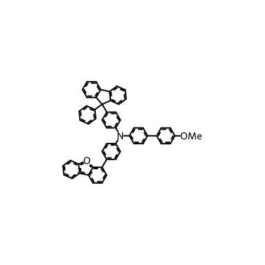 COc1ccc(-c2ccc(N(c3ccc(-c4cccc5c4oc4ccccc45)cc3)c3ccc(C4(c5ccccc5)c5ccccc5-c5ccccc54)cc3)cc2)cc1